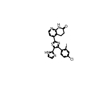 O=C1CCc2c(-c3nc(-c4ccc(Cl)cc4I)c(-c4ncc[nH]4)s3)ccnc2N1